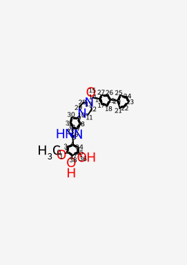 COc1cc(-c2nc3cc(N4CCN(C(=O)c5ccc(-c6ccccc6)cc5)CC4)ccc3[nH]2)cc(O)c1O